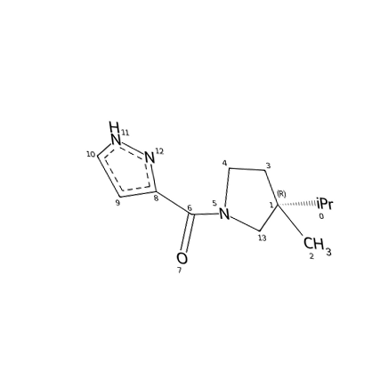 CC(C)[C@@]1(C)CCN(C(=O)c2cc[nH]n2)C1